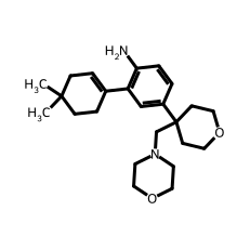 CC1(C)CC=C(c2cc(C3(CN4CCOCC4)CCOCC3)ccc2N)CC1